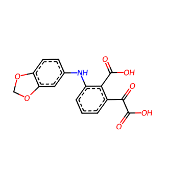 O=C(O)C(=O)c1cccc(Nc2ccc3c(c2)OCO3)c1C(=O)O